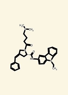 CCn1c2ccccc2c2cc(NC(=O)[C@@H]3C/C(=C\c4ccccc4)CN3C(=O)CCCN(C)C)ccc21